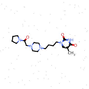 Cc1cn(CCCCN2CCN(CC(=O)N3CCCC3)CC2)c(=O)[nH]c1=O